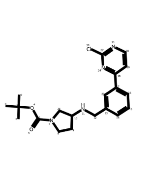 CC(C)(C)OC(=O)N1CCC(NCc2cccc(-c3ccnc(Cl)n3)c2)C1